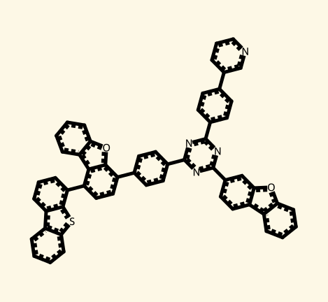 c1cncc(-c2ccc(-c3nc(-c4ccc(-c5ccc(-c6cccc7c6sc6ccccc67)c6c5oc5ccccc56)cc4)nc(-c4ccc5c(c4)oc4ccccc45)n3)cc2)c1